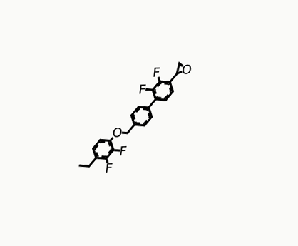 CCc1ccc(OCc2ccc(-c3ccc(C4CO4)c(F)c3F)cc2)c(F)c1F